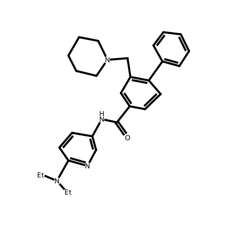 CCN(CC)c1ccc(NC(=O)c2ccc(-c3ccccc3)c(CN3CCCCC3)c2)cn1